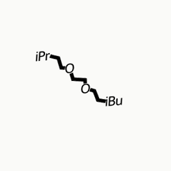 CCC(C)CCOCCOCCC(C)C